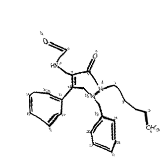 CCCCn1c(=O)c(NC=O)c(-c2ccccc2)n1-c1ccccc1